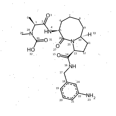 C[C@@H](C(=O)N[C@H]1CCCC[C@H]2CC[C@@H](C(=O)NCc3cccc(N)c3)N2C1=O)N(C)C(=O)O